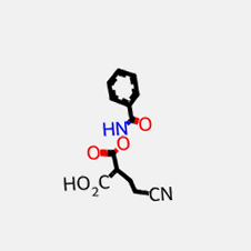 N#CCCC(C(=O)O)C(=O)ONC(=O)c1ccccc1